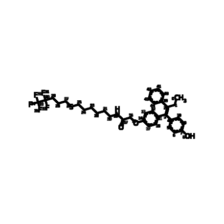 CC/C(=C(\c1ccc(O)cc1)c1ccc(OCC(=O)NCCCCCCSCCCC(F)(F)C(F)(F)F)cc1)c1ccccc1